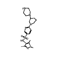 Cc1nn(C)c(C)c1NS(=O)(=O)c1ccc(N2CCCC(N3CCNCC3)C2)nc1